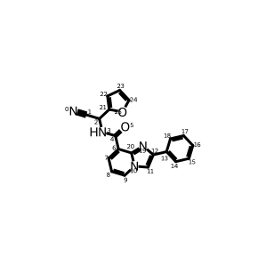 N#CC(NC(=O)c1cccn2cc(-c3ccccc3)nc12)c1ccco1